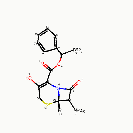 CC(=O)NC1C(=O)N2C(C(=O)OC(c3ccccc3)[N+](=O)[O-])=C(O)CS[C@@H]12